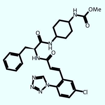 COC(=O)NC1CCC(NC(=O)[C@H](Cc2ccccc2)NC(=O)C=Cc2cc(Cl)ccc2-n2cnnn2)CC1